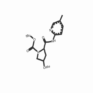 COC1CC(C(=O)Nc2ccc(C)cn2)N(C(=O)OC(C)(C)C)C1